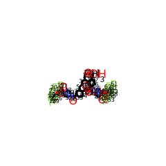 CCC(CCCc1cc(C(=O)N2CCN(S(=O)(=O)C(F)(F)C(F)(F)C(F)(F)C(F)(F)F)CC2)ccc1C(=O)O)c1cc(C(=O)N2CCN(S(=O)(=O)C(F)(F)C(F)(F)C(F)(F)C(F)(F)F)CC2)ccc1C(=O)O